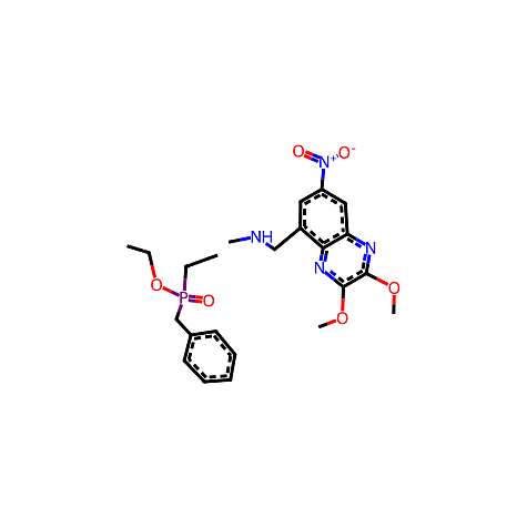 CCOP(=O)(CC)Cc1ccccc1.CNCc1cc([N+](=O)[O-])cc2nc(OC)c(OC)nc12